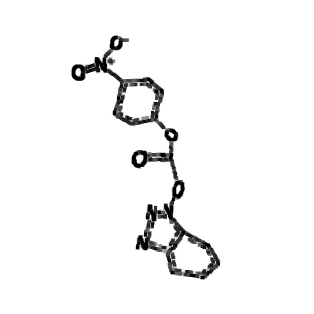 O=C(Oc1ccc([N+](=O)[O-])cc1)On1nnc2ccccc21